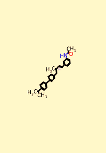 CC(=O)Nc1cccc(/C=C/C(C)Cc2ccc(-c3ccc(C(C)C)cc3)cc2)c1